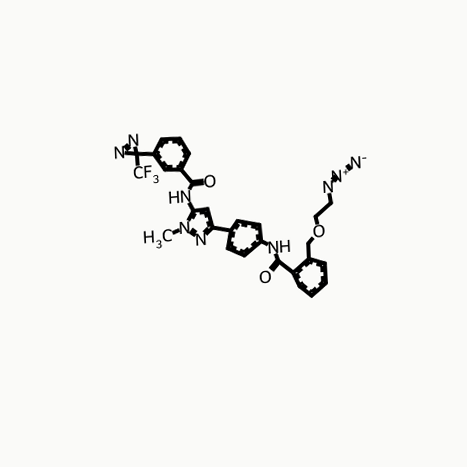 Cn1nc(-c2ccc(NC(=O)c3ccccc3COCCN=[N+]=[N-])cc2)cc1NC(=O)c1cccc(C2(C(F)(F)F)N=N2)c1